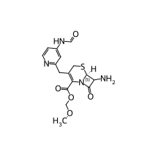 COCOC(=O)C1=C(Cc2cc(NC=O)ccn2)CS[C@H]2C(N)C(=O)N12